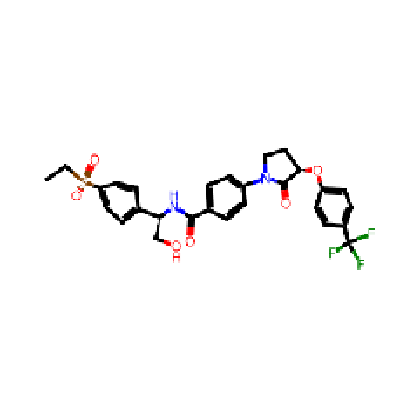 CCS(=O)(=O)c1ccc([C@H](CO)NC(=O)c2ccc(N3CC[C@@H](Oc4ccc(C(F)(F)F)cc4)C3=O)cc2)cc1